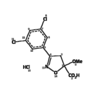 COC1(C(=O)O)CC(c2cc(Cl)cc(Cl)c2)=NO1.Cl